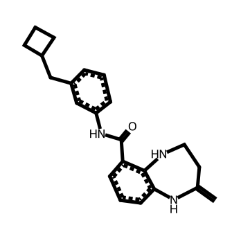 C=C1CCNc2c(cccc2C(=O)Nc2cccc(CC3CCC3)c2)N1